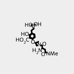 CNC(=O)C[C@@H](N)C(=O)N1CC(Oc2ccc(CCB(O)O)c(O)c2C(=O)O)C1